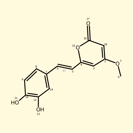 COc1cc(/C=C/c2ccc(O)c(O)c2)oc(=O)c1